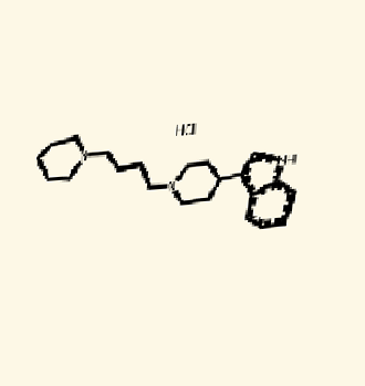 Cl.c1ccc2c(C3CCN(CCCCN4CCCCC4)CC3)c[nH]c2c1